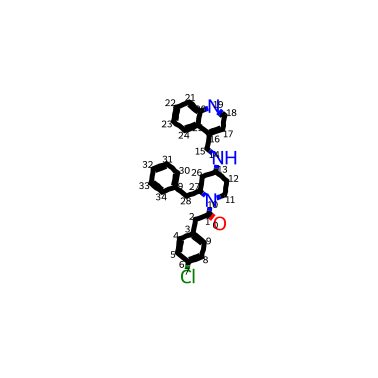 O=C(Cc1ccc(Cl)cc1)N1CCC(NCc2ccnc3ccccc23)CC1Cc1ccccc1